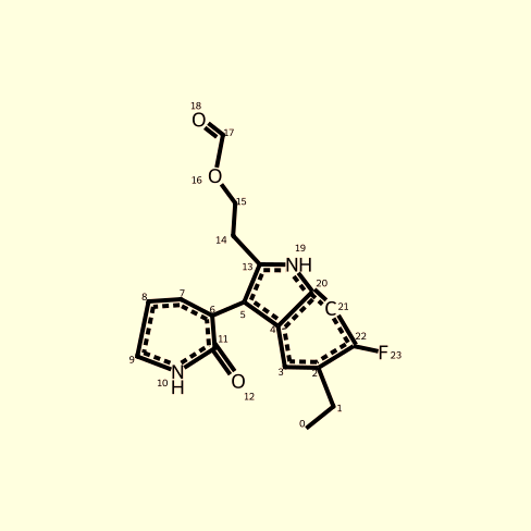 CCc1cc2c(-c3ccc[nH]c3=O)c(CCOC=O)[nH]c2cc1F